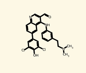 CN(C)CCc1cccc(Nc2c(C=O)cnc3ccc(-c4cc(Cl)c(O)c(Cl)c4)cc23)c1